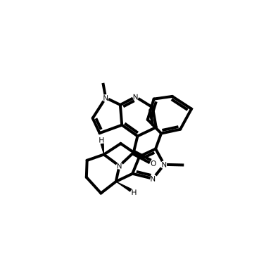 Cn1nc2c(c1-c1ccccc1)C[C@H]1CCC[C@@H]2N1C(=O)c1ccnc2c1ccn2C